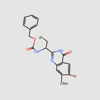 COc1cc2nc(C(CC(C)C)NC(=O)OCc3ccccc3)[nH]c(=O)c2cc1Br